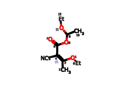 CCO/C(C)=C(/C#N)C(=O)OC(C)OCC